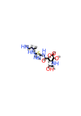 COc1c(N[C@H](C)CO)cc(C(=O)Nc2nnc(N/C(C)=C\C=N)s2)oc1=O